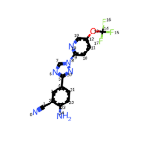 N#Cc1cc(-c2ncn(-c3ccc(OC(F)(F)F)cn3)n2)ccc1N